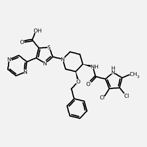 Cc1[nH]c(C(=O)N[C@@H]2CCN(c3nc(-c4cnccn4)c(C(=O)O)s3)C[C@@H]2OCc2ccccc2)c(Cl)c1Cl